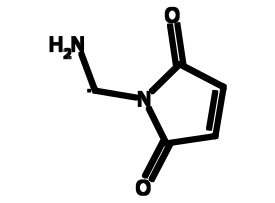 N[CH]N1C(=O)C=CC1=O